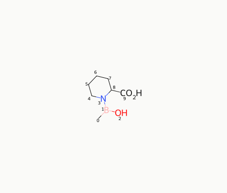 CB(O)N1CCCCC1C(=O)O